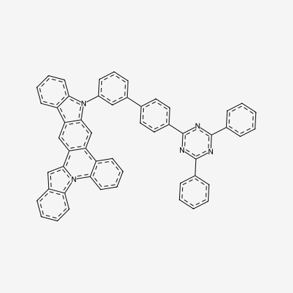 c1ccc(-c2nc(-c3ccccc3)nc(-c3ccc(-c4cccc(-n5c6ccccc6c6cc7c(cc65)c5ccccc5n5c6ccccc6cc75)c4)cc3)n2)cc1